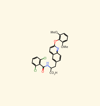 COc1cccc(OC)c1Oc1ccc2cc(CC(NC(=O)c3c(Cl)cccc3Cl)C(=O)O)ccc2n1